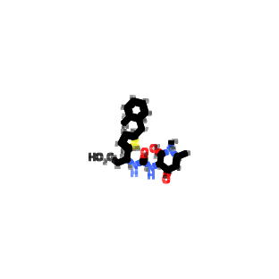 CC1=CC(=O)C(NC(=O)NC(CC(=O)O)c2ccc(Cc3ccccc3C)s2)C(=O)N1C